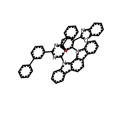 c1ccc(-c2cccc(-c3nc(-c4ccccc4)nc(-n4c5ccccc5c5ccc6c7ccccc7n(-c7ccccc7-c7nc8ccccc8o7)c6c54)n3)c2)cc1